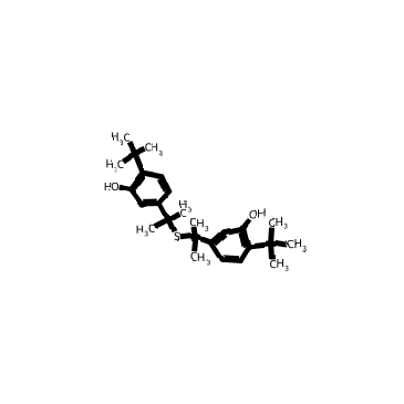 CC(C)(C)c1ccc(C(C)(C)SC(C)(C)c2ccc(C(C)(C)C)c(O)c2)cc1O